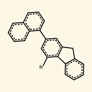 Brc1cc(-c2cccc3ccccc23)cc2c1-c1ccccc1C2